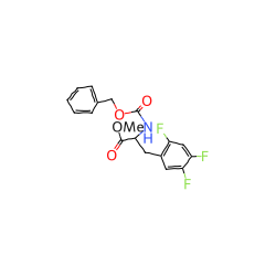 COC(=O)C(Cc1cc(F)c(F)cc1F)NC(=O)OCc1ccccc1